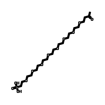 CC(=O)CCOCCOCCOCCOCCOCCOCCOCCOCCP(=O)(O)O